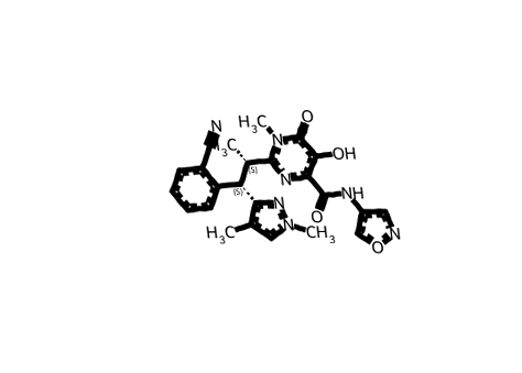 Cc1cn(C)nc1[C@H](c1ccccc1C#N)[C@H](C)c1nc(C(=O)Nc2cnoc2)c(O)c(=O)n1C